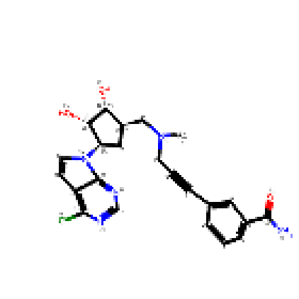 CC(=O)N(CC#Cc1cccc(C(N)=O)c1)C[C@H]1C[C@@H](n2ccc3c(Cl)ncnc32)[C@H](O)[C@@H]1O